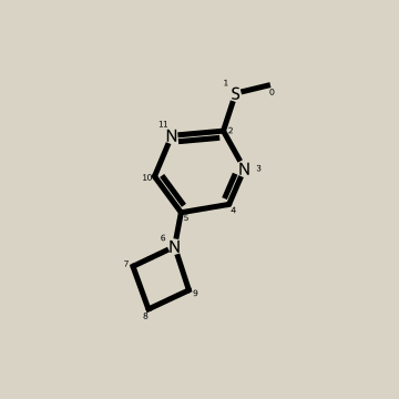 CSc1ncc(N2CCC2)cn1